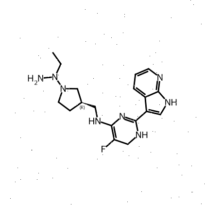 CCN(N)N1CC[C@H](CNC2=C(F)CNC(c3c[nH]c4ncccc34)=N2)C1